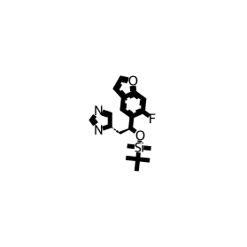 CC(C)(C)[Si](C)(C)O[C@@H](C[C@H]1C=NC=N1)c1cc2ccoc2cc1F